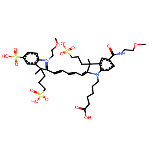 COCCNC(=O)c1ccc2c(c1)C(C)(CCCS(=O)(=O)[O-])\C(=C/C=C/C=C/C1=[N+](CCOC)c3ccc(S(=O)(=O)O)cc3C1(C)CCCS(=O)(=O)O)N2CCCCCC(=O)O